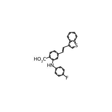 O=C(O)c1ccc(C=Cc2csc3ccccc23)cc1Nc1ccc(F)cc1